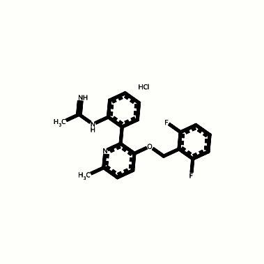 CC(=N)Nc1ccccc1-c1nc(C)ccc1OCc1c(F)cccc1F.Cl